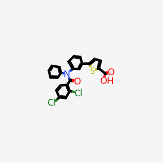 O=C(O)c1ccc(-c2cccc(N(C(=O)c3ccc(Cl)cc3Cl)c3ccccc3)c2)s1